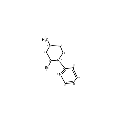 CCC1CN(C)CCN1c1ncccn1